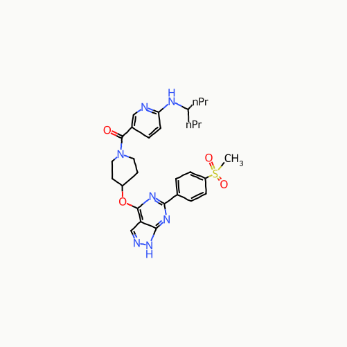 CCCC(CCC)Nc1ccc(C(=O)N2CCC(Oc3nc(-c4ccc(S(C)(=O)=O)cc4)nc4[nH]ncc34)CC2)cn1